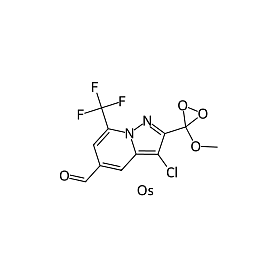 COC1(c2nn3c(C(F)(F)F)cc(C=O)cc3c2Cl)OO1.[Os]